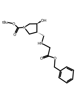 CC(C)(C)OC(=O)N1C[C@@H](CNCC(=O)OCc2ccccc2)[C@H](O)C1